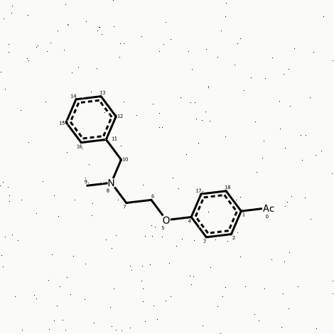 CC(=O)c1ccc(OCCN(C)Cc2ccccc2)cc1